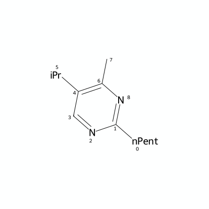 CCCCCc1ncc(C(C)C)c(C)n1